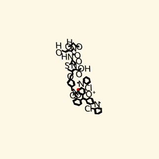 CN(c1ccc2c(-c3ccccc3S(=O)(=O)N(C)Cc3ccc(OCC4=C(C(=O)O)N5C(=O)[C@@H](NC(=O)[C@H]6/C(=C/CO)O[C@@H]7CC(=O)N76)C5SC4)cc3)c3ccc(N(C)c4ccccc4Cl)cc3[o+]c2c1)c1ccccc1Cl